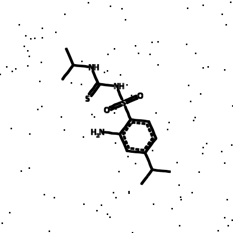 CC(C)NC(=S)NS(=O)(=O)c1ccc(C(C)C)cc1N